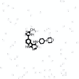 Cc1nnc(-c2ccc3[nH]c4ncnc(N[C@H]5CC[C@H](N6CCOCC6)CC5)c4c3c2)[nH]1